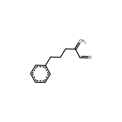 C=C([C]=O)CCCc1ccccc1